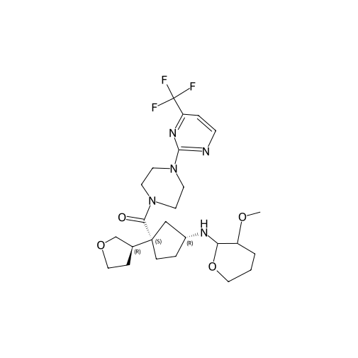 COC1CCCOC1N[C@@H]1CC[C@@](C(=O)N2CCN(c3nccc(C(F)(F)F)n3)CC2)([C@H]2CCOC2)C1